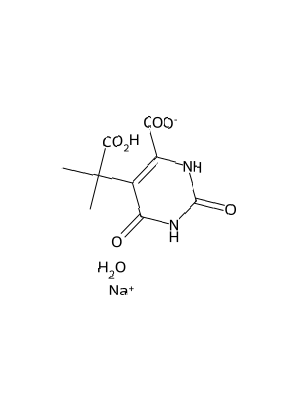 CC(C)(C(=O)O)c1c(C(=O)[O-])[nH]c(=O)[nH]c1=O.O.[Na+]